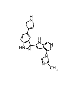 Cc1cn(-c2cncc3[nH]c(-c4n[nH]c5ncc(C6=CCNCC6)cc45)cc23)cn1